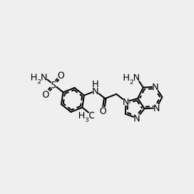 Cc1ccc(S(N)(=O)=O)cc1NC(=O)Cn1cnc2ncnc(N)c21